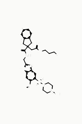 CCCCOC(=O)CC1(C(=O)NCc2nc3cc(S(=O)(=O)N4CCN(C)CC4)c(OC)cc3s2)Cc2ccccc2C1